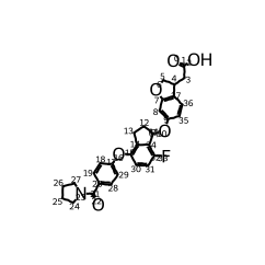 O=C(O)CC1COc2cc(O[C@@H]3CCc4c(Oc5ccc(C(=O)N6CCCC6)cc5)ccc(F)c43)ccc21